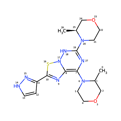 CC1COCCN1C1=C2N=C(c3cc[nH]n3)SN2NC(N2CCOC[C@@H]2C)=N1